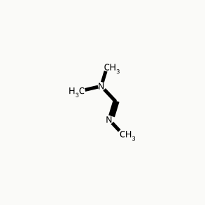 C/N=C/N(C)C